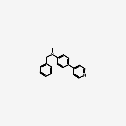 CN(Cc1ccccc1)c1ccc(-c2ccncc2)cc1